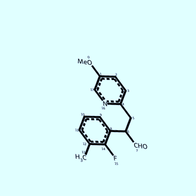 COc1ccc(CC(C=O)c2cccc(C)c2F)nc1